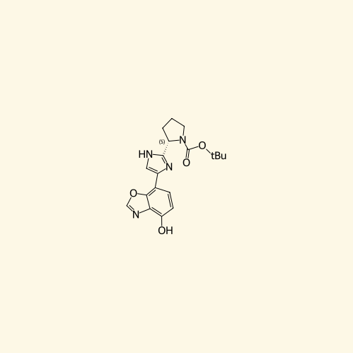 CC(C)(C)OC(=O)N1CCC[C@H]1c1nc(-c2ccc(O)c3ncoc23)c[nH]1